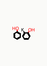 Oc1cccc[c]1[K].Oc1ccccc1